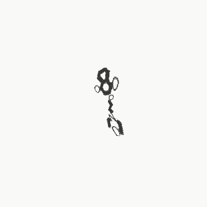 O=C1C=C(OCCCCN2CCOCC2)C(=O)c2ccccc21